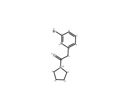 O=C(Cc1cccc(Br)n1)N1CCCC1